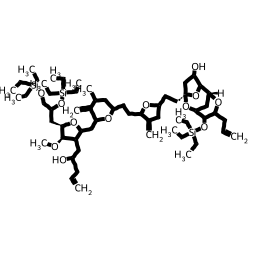 C=CCC(O)CC1C(CC2OC(CCC3OC(CC[C@]45CC(O)C(O4)[C@H]4CC(O5)C(O[Si](CC)(CC)CC)C(CC=C)O4)CC3=C)CC(C)C2=C)O[C@H](CC(CO[Si](CC)(CC)CC)O[Si](CC)(CC)CC)[C@@H]1OC